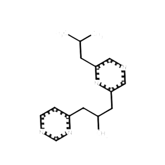 CC(C)Cc1cncc(CC(C)Cc2ccncn2)n1